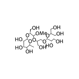 COC(OC(CO)COC(OC(CO)CO)[C@@H](O)CO)[C@H](CO)OC1OC(C)C(O)[C@H](O)[C@@H]1O